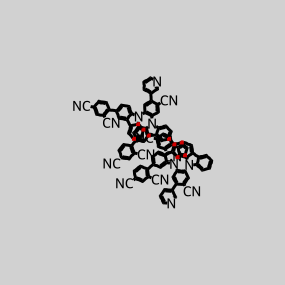 N#Cc1ccc(-c2ccc3c(c2)c2ccccc2n3-c2cc(-c3cccnc3)c(C#N)cc2-n2c3ccc(-c4ccc(C#N)cc4C#N)cc3c3cc(-c4cccc5c4c4ccc(-c6ccc(C#N)cc6C#N)cc4n5-c4cc(-c5cccnc5)c(C#N)cc4-n4c5ccccc5c5ccc(-c6ccc(C#N)cc6C#N)cc54)ccc32)c(C#N)c1